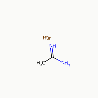 Br.CC(=N)N